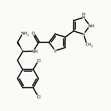 CN1NNC=C1c1csc(C(=O)N[C@H](CN)Cc2ccc(Cl)cc2Cl)c1